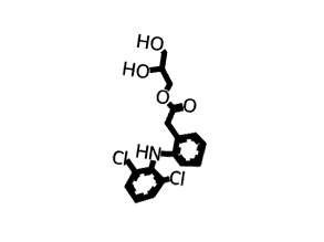 O=C(Cc1ccccc1Nc1c(Cl)cccc1Cl)OCC(O)CO